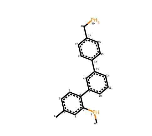 CPc1cc(C)ccc1-c1cccc(-c2ccc(CP)cc2)c1